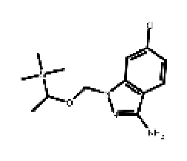 CC(OCn1nc(N)c2ccc(Cl)cc21)[Si](C)(C)C